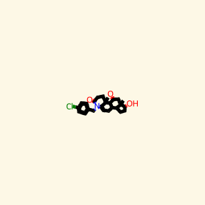 CC12CCC(=O)N(Cc3ccc(Cl)cc3)C1=CCC1C2C(=O)CC2(C)C(O)CCC12